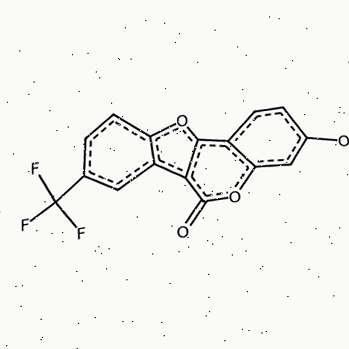 O=c1oc2cc(O)ccc2c2oc3ccc(C(F)(F)F)cc3c12